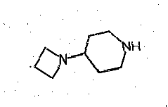 [CH]1CN(C2CCNCC2)C1